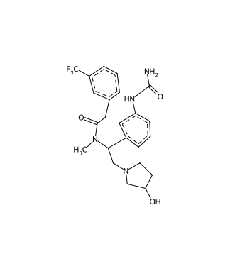 CN(C(=O)Cc1cccc(C(F)(F)F)c1)C(CN1CCC(O)C1)c1cccc(NC(N)=O)c1